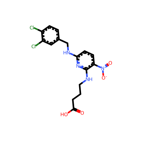 O=C(O)CCCNc1nc(NCc2ccc(Cl)c(Cl)c2)ccc1[N+](=O)[O-]